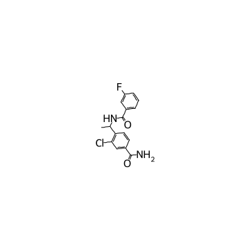 CC(NC(=O)c1cccc(F)c1)c1ccc(C(N)=O)cc1Cl